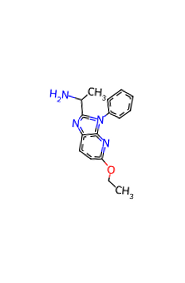 CCOc1ccc2nc(C(C)N)n(-c3ccccc3)c2n1